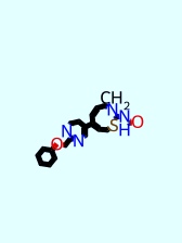 C=C1/C=C\C(C2=CN=C(COC3CCCCC3)N=CC2)=C/CS/C(NC=O)=N\1